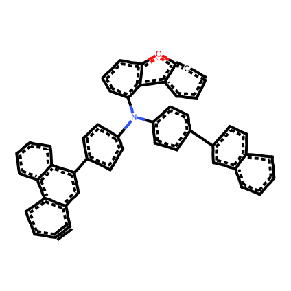 c1ccc2c(c#1)cc(-c1ccc(N(c3ccc(-c4ccc5ccccc5c4)cc3)c3cccc4oc5ccccc5c34)cc1)c1ccccc12